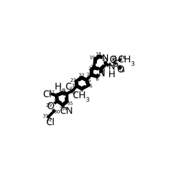 CC(C)(c1ccc(-c2cnc3c(NS(C)(=O)=O)nccc3c2)cc1)c1cc(Cl)c(OCCCl)c(C#N)c1